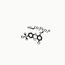 CCOC(=O)CS.CCS(=O)(=O)c1ccc(Sc2cc(Cl)ccc2SCC(=O)O)c(Cl)c1